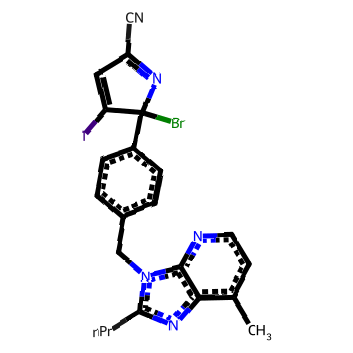 CCCc1nc2c(C)ccnc2n1Cc1ccc(C2(Br)N=C(C#N)C=C2I)cc1